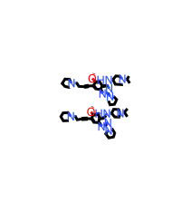 COc1cc2c(NC3CCN(C(C)C)CC3)nc(N3CCCCC3)nc2cc1C#CCCN1CCCCC1.COc1cc2c(NC3CCN(C(C)C)CC3)nc(N3CCCCC3)nc2cc1C#CCCN1CCCCC1